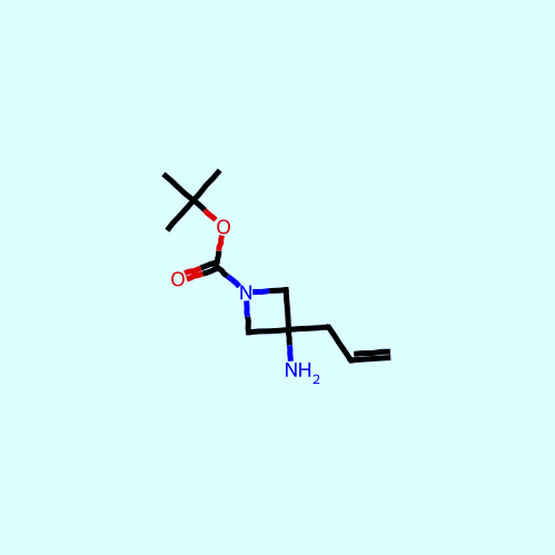 C=CCC1(N)CN(C(=O)OC(C)(C)C)C1